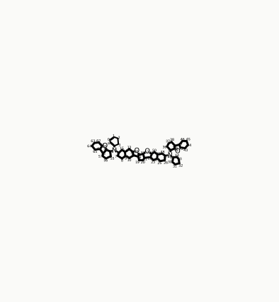 C1=CCCC(N(c2ccc3cc4c(cc3c2)oc2c4ccc3c4cc5ccc(N(c6ccccc6)c6cccc7c6oc6ccccc67)cc5cc4oc32)c2cccc3c2oc2ccccc23)=C1